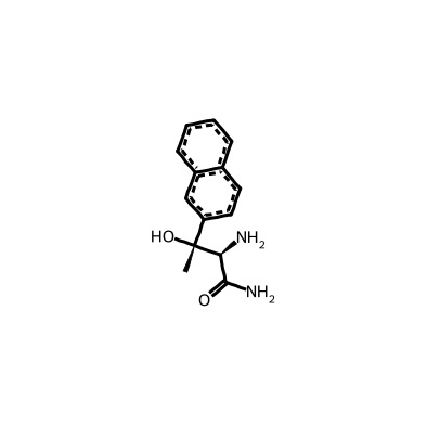 C[C@@](O)(c1ccc2ccccc2c1)[C@@H](N)C(N)=O